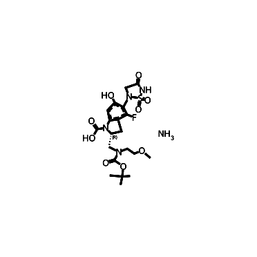 COCCN(C[C@H]1Cc2c(cc(O)c(N3CC(=O)NS3(=O)=O)c2F)N1C(=O)O)C(=O)OC(C)(C)C.N